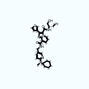 CC(C)C[C@@H](CO)NC(=O)c1c(-c2ccsc2)nc2c(C(=O)NCc3ccc(N(C)C4CCCCC4)nc3)cccn12